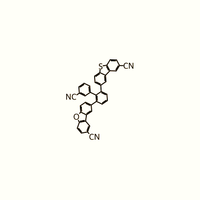 N#Cc1cccc(-c2c(-c3ccc4oc5ccc(C#N)cc5c4c3)cccc2-c2ccc3sc4ccc(C#N)cc4c3c2)c1